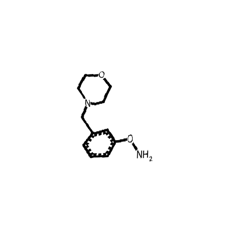 NOc1cccc(CN2CCOCC2)c1